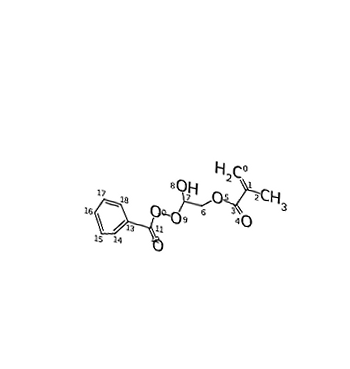 C=C(C)C(=O)OCC(O)OOC(=O)c1ccccc1